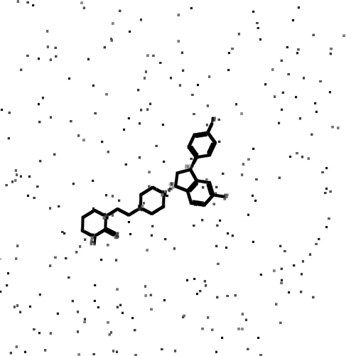 Fc1ccc([C@@H]2C[C@@H](N3CCN(CCN4CCCNC4=S)CC3)c3ccc(F)cc32)cc1